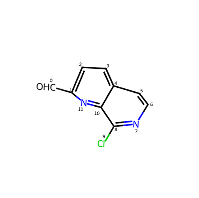 O=Cc1ccc2ccnc(Cl)c2n1